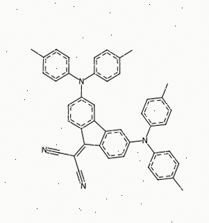 Cc1ccc(N(c2ccc(C)cc2)c2ccc3c(c2)-c2cc(N(c4ccc(C)cc4)c4ccc(C)cc4)ccc2C3=C(C#N)C#N)cc1